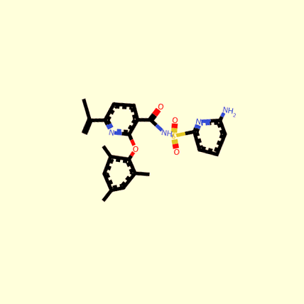 C=C(C)c1ccc(C(=O)NS(=O)(=O)c2cccc(N)n2)c(Oc2c(C)cc(C)cc2C)n1